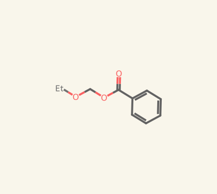 [CH2]COCOC(=O)c1ccccc1